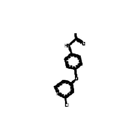 CC(=O)Nc1ccc(Oc2ccnc(Cl)c2)cc1